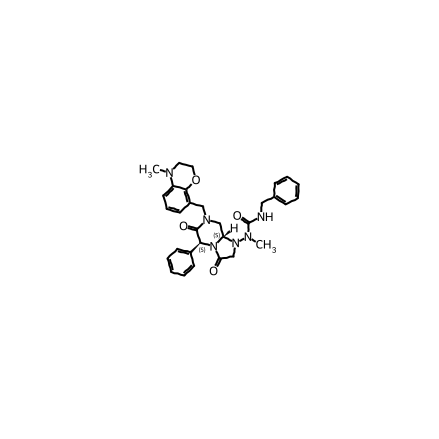 CN1CCOc2c(CN3C[C@H]4N(C(=O)CN4N(C)C(=O)NCc4ccccc4)[C@@H](c4ccccc4)C3=O)cccc21